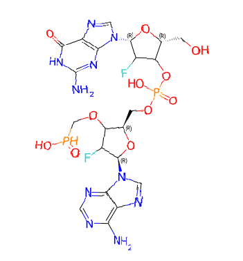 Nc1nc2c(ncn2[C@@H]2O[C@H](CO)C(OP(=O)(O)OC[C@H]3O[C@@H](n4cnc5c(N)ncnc54)C(F)C3OC[PH](=O)O)C2F)c(=O)[nH]1